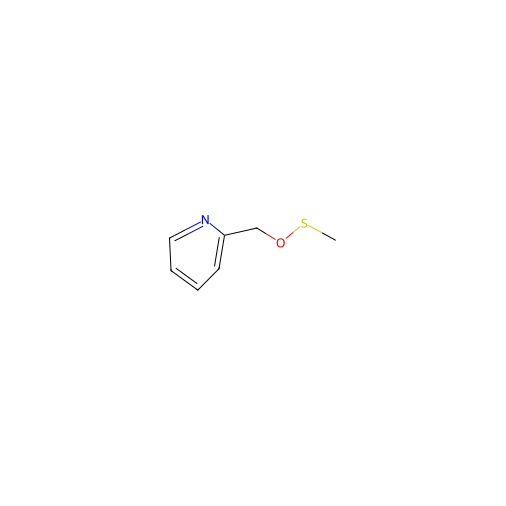 CSOCc1ccccn1